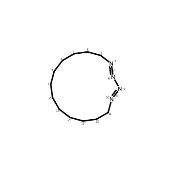 C1CCCCCC/N=N/N=N/CCCCC1